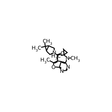 Cc1oc2ncnc(N(C)C3(C)CC3)c2c1C(=O)N1CC2C(C1)C2(C)C